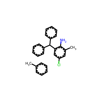 Cc1cc(Cl)cc(C(c2ccccc2)c2ccccc2)c1N.Cc1ccccc1